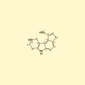 CCCCc1csc2ccc3[nH]c4c(c3c12)CNCC4